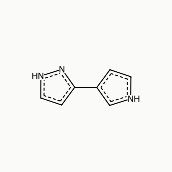 c1cc(-c2cc[nH]n2)c[nH]1